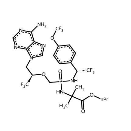 CCCOC(=O)C(C)(C)NP(=O)(CO[C@H](Cn1cnc2c(N)ncnc21)C(F)(F)F)N[C@H](c1ccc(OC(F)(F)F)cc1)C(F)(F)F